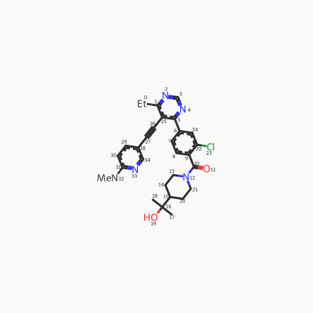 CCc1ncnc(-c2ccc(C(=O)N3CCC(C(C)(C)O)CC3)c(Cl)c2)c1C#Cc1ccc(NC)nc1